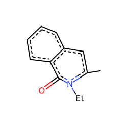 CCn1c(C)cc2ccccc2c1=O